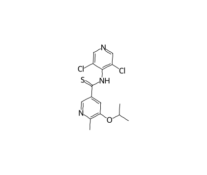 Cc1ncc(C(=S)Nc2c(Cl)cncc2Cl)cc1OC(C)C